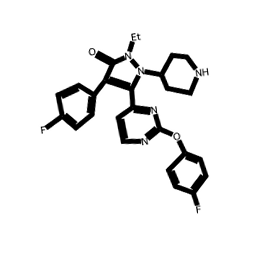 CCn1c(=O)c(-c2ccc(F)cc2)c(-c2ccnc(Oc3ccc(F)cc3)n2)n1C1CCNCC1